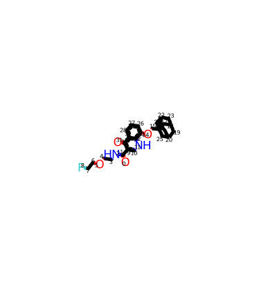 O=C(NCCOCCF)c1c[nH]c2c(OCC34CC5CC(CC(C5)C3)C4)cccc2c1=O